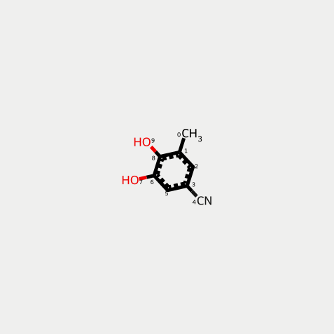 Cc1cc(C#N)cc(O)c1O